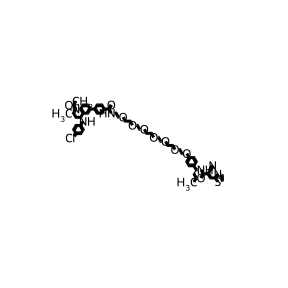 CCC[C@H](NC(=O)/C(C#N)=C/c1nccs1)c1ccc(OCCOCCOCCOCCOCCOCCOCCNC(=O)c2ccc(-c3ccc4c(c3)[C@H](Nc3ccc(Cl)cc3)C[C@H](C)N4C(C)=O)cc2)cc1